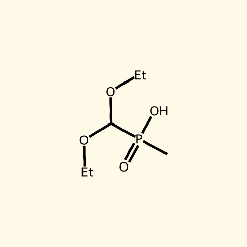 CCOC(OCC)P(C)(=O)O